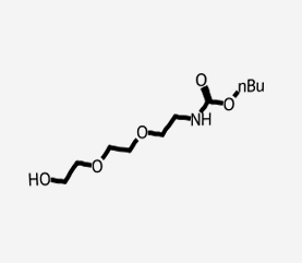 CCCCOC(=O)NCCOCCOCCO